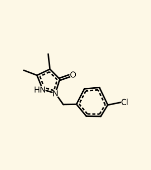 Cc1[nH]n(Cc2ccc(Cl)cc2)c(=O)c1C